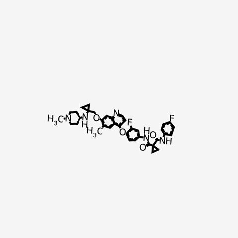 Cc1cc2c(Oc3ccc(NC(=O)C4(C(=O)Nc5ccc(F)cc5)CC4)cc3F)ccnc2cc1OCC1(NC2CCN(C)CC2)CC1